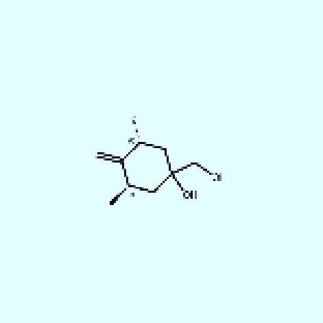 C=C1[C@H](C)CC(O)(CO)C[C@H]1C